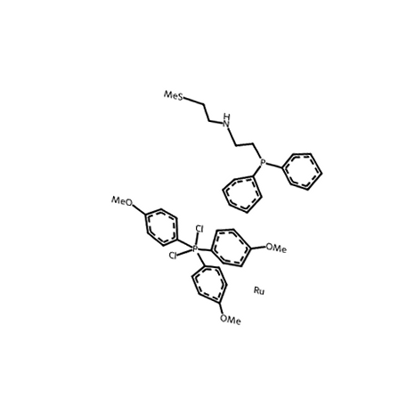 COc1ccc(P(Cl)(Cl)(c2ccc(OC)cc2)c2ccc(OC)cc2)cc1.CSCCNCCP(c1ccccc1)c1ccccc1.[Ru]